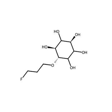 OC1C(O)[C@H](OCCCF)[C@@H](O)C(O)[C@H]1O